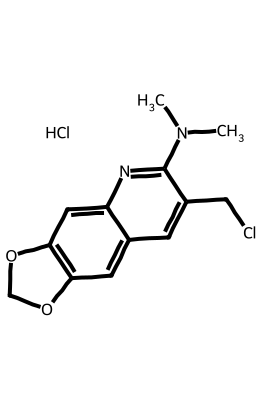 CN(C)c1nc2cc3c(cc2cc1CCl)OCO3.Cl